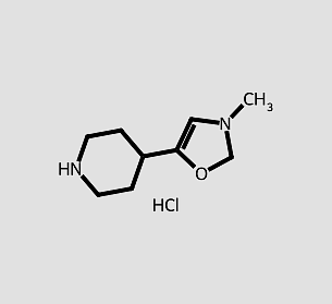 CN1C=C(C2CCNCC2)OC1.Cl